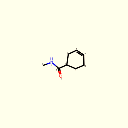 CNC(=O)C1CC=CCC1